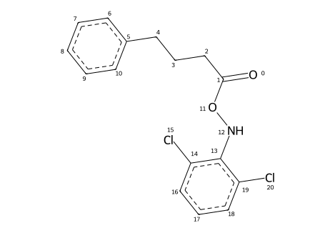 O=C(CCCc1ccccc1)ONc1c(Cl)cccc1Cl